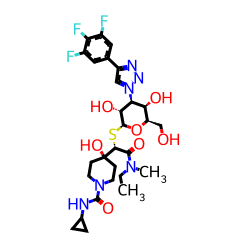 CCN(C)C(=O)[C@@H](S[C@@H]1O[C@H](CO)[C@H](O)[C@H](n2cc(-c3cc(F)c(F)c(F)c3)nn2)[C@H]1O)C1(O)CCN(C(=O)NC2CC2)CC1